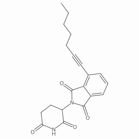 CCCCCC#Cc1cccc2c1C(=O)N(C1CCC(=O)NC1=O)C2=O